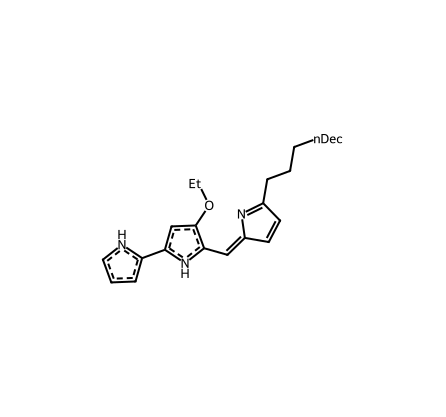 CCCCCCCCCCCCCC1=NC(=Cc2[nH]c(-c3ccc[nH]3)cc2OCC)C=C1